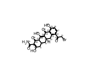 NC(=O)C1=C(O)CC2C[C@@H]3Cc4c(C(=O)CBr)ccc(O)c4C(=O)C3=C(O)C2C1=O